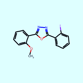 COc1ccccc1-c1nnc(-c2ccccc2I)o1